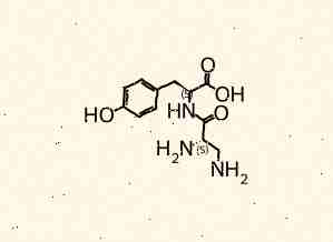 NC[C@H](N)C(=O)N[C@@H](Cc1ccc(O)cc1)C(=O)O